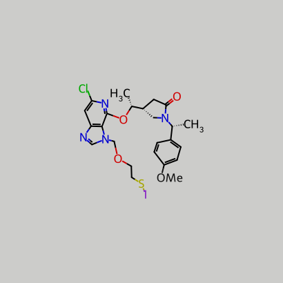 COc1ccc([C@@H](C)N2C[C@H]([C@@H](C)Oc3nc(Cl)cc4ncn(COCCSI)c34)CC2=O)cc1